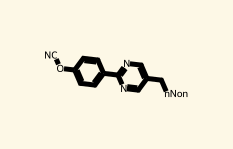 CCCCCCCCCCc1cnc(-c2ccc(OC#N)cc2)nc1